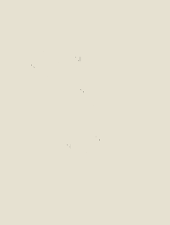 CC1C=CC(C2CN=C3C=CC(Cl)=CN32)=NC1NC1CNC1